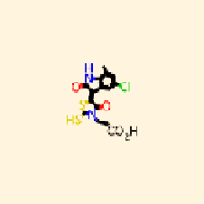 Cc1cc(Cl)cc2c1NC(=O)/C2=C1\SC(S)N(CCC(=O)O)C1=O